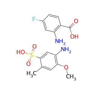 COc1cc(C)c(S(=O)(=O)O)cc1N.Nc1cc(F)ccc1C(=O)O